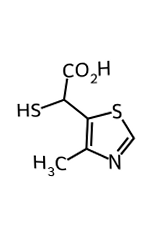 Cc1ncsc1C(S)C(=O)O